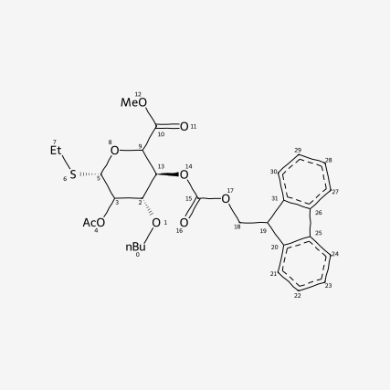 CCCCO[C@@H]1C(OC(C)=O)[C@H](SCC)OC(C(=O)OC)[C@H]1OC(=O)OCC1c2ccccc2-c2ccccc21